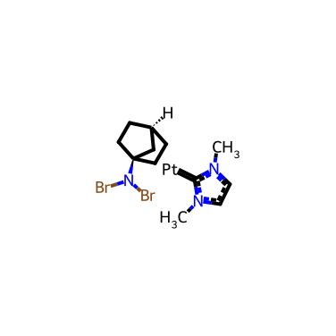 BrN(Br)[C@]12CC[C@@H](CC1)C2.Cn1ccn(C)[c]1=[Pt]